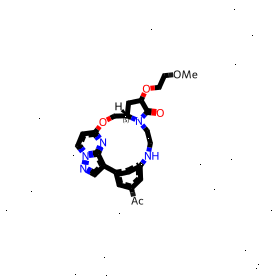 COCCOC1C[C@H]2COc3ccn4ncc(c4n3)-c3cc(cc(C(C)=O)c3)NCCN2C1=O